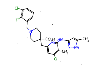 Cc1cc(Nc2nc(CC3(C(=O)O)CCN(Cc4cccc(Cl)c4F)CC3)cc(Cl)c2C)n[nH]1